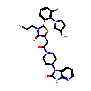 CNC1CCN(c2c(F)cccc2[C@@H]2S[C@@H](CC(=O)N3CCC(n4c(=O)[nH]c5ncccc54)CC3)C(=O)N2CCC(C)(C)C)C1